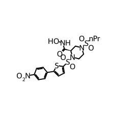 CCCS(=O)(=O)N1CCN(S(=O)(=O)c2ccc(-c3ccc([N+](=O)[O-])cc3)s2)[C@@H](C(=O)NO)C1